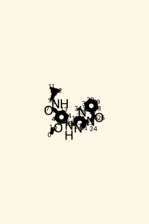 CCOc1cc(C(=O)NCC2CC2)ccc1Nc1cc2c(cn1)N(C)C(=O)c1ccccc1N2C